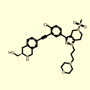 CS(=O)(=O)N1CCc2c(c(-c3ccc(Cl)c(C#Cc4ccc5c(c4)CN[C@@H](CO)C5)c3)nn2CCCN2CCOCC2)C1